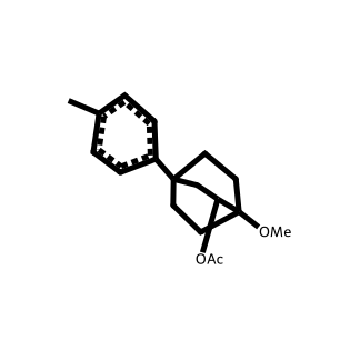 COC12CCC(c3ccc(C)cc3)(CC1)CC2OC(C)=O